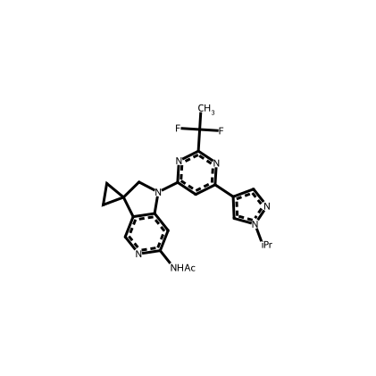 CC(=O)Nc1cc2c(cn1)C1(CC1)CN2c1cc(-c2cnn(C(C)C)c2)nc(C(C)(F)F)n1